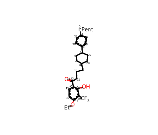 CCCCCc1ccc(C2CCC(CCCC(=O)c3ccc(OCC)c(C(F)(F)F)c3O)CC2)cc1